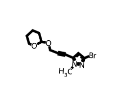 Cn1nc(Br)cc1C#CCOC1CCCCO1